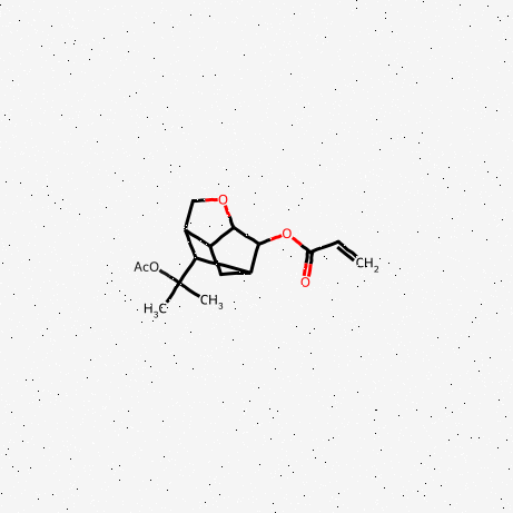 C=CC(=O)OC1C2CC3C(COC31)C2C(C)(C)OC(C)=O